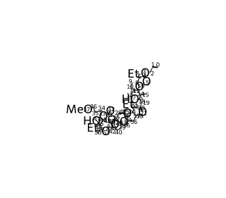 C=CCOC(=O)[C@H](CC)[C@H]1CCC(C)[C@H]([C@@H](C)[C@H](O)[C@H](C)C(=O)[C@H](CC)[C@H]2O[C@]3(C=C[C@@H](OC(=O)OCCCOC)[C@]4(CC[C@@](C)([C@H]5CC[C@](O)(CC)[C@H](C)O5)O4)O3)[C@H](C)C[C@@H]2C)O1